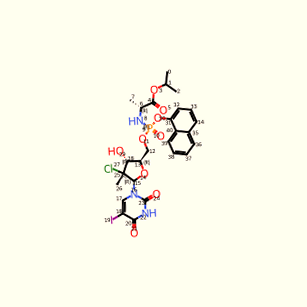 CC(C)OC(=O)[C@@H](C)N[P@@](=O)(OC[C@H]1O[C@@H](n2cc(I)c(=O)[nH]c2=O)[C@](C)(Cl)[C@@H]1O)Oc1cccc2ccccc12